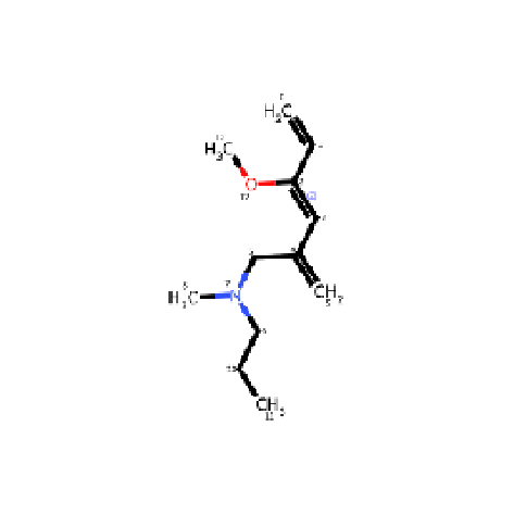 C=C/C(=C/C(=C)CN(C)CCC)OC